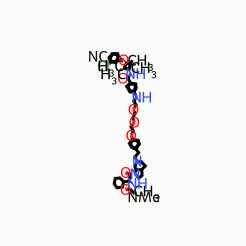 CN[C@@H](C)C(=O)N[C@H](C(=O)N1CCC2CCN(CCc3ccc(OCCOCCOCCNc4ccc(C(=O)N[C@H]5C(C)(C)[C@H](Oc6ccc(C#N)c(Cl)c6)C5(C)C)cc4)cc3)CC21)C1CCCCC1